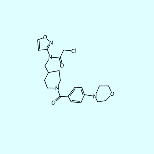 O=C(c1ccc(N2CCOCC2)cc1)N1CCC(CN(C(=O)CCl)c2ccon2)CC1